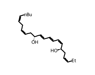 CC/C=C\C[C@@H](O)\C=C/C=C/C=C/[C@H](O)C/C=C\C/C=C\CCCC